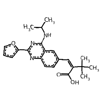 CC(C)Nc1nc(-c2ccco2)nc2ccc(C=C(C(=O)O)C(C)(C)C)cc12